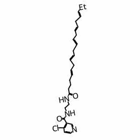 CCC=CCC=CCC=CCC=CCC=CCCCC(=O)NCCNC(=O)c1cnccc1Cl